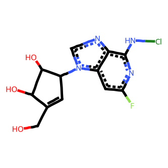 OCC1=CC(n2cnc3c(NCl)nc(F)cc32)C(O)C1O